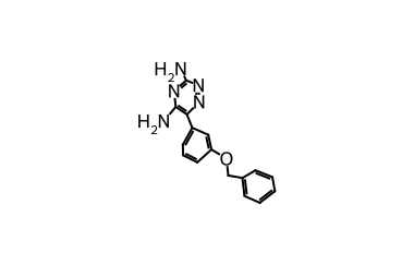 Nc1nnc(-c2cccc(OCc3ccccc3)c2)c(N)n1